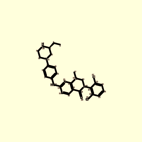 CC[C@H]1CN(c2ccc(Nc3ncc4c(n3)N(C)CN(c3c(Cl)cccc3Cl)C4=O)cc2)CCN1